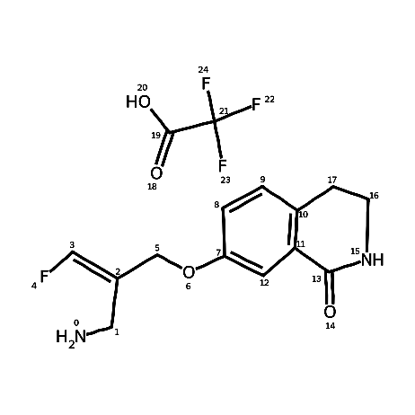 NC/C(=C\F)COc1ccc2c(c1)C(=O)NCC2.O=C(O)C(F)(F)F